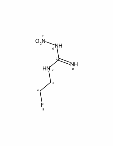 N=C(NCCF)N[N+](=O)[O-]